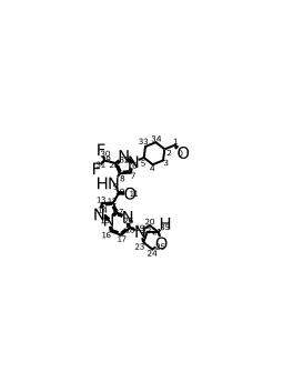 O=CC1CCC(n2cc(NC(=O)c3cnn4ccc(N5C[C@H]6CC5CO6)nc34)c(C(F)F)n2)CC1